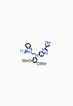 COc1cc(OC)cc(N(CCN(Cc2ccccc2N)C(C)C)c2ccc3ncc(-c4cnn(C)c4)nc3c2)c1